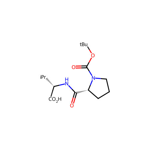 CC(C)[C@H](NC(=O)[C@H]1CCCN1C(=O)OC(C)(C)C)C(=O)O